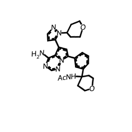 CC(=O)NC1(c2cccc(-c3cc(-c4ccnn4C4CCOCC4)c4c(N)ncnn34)c2)CCOCC1